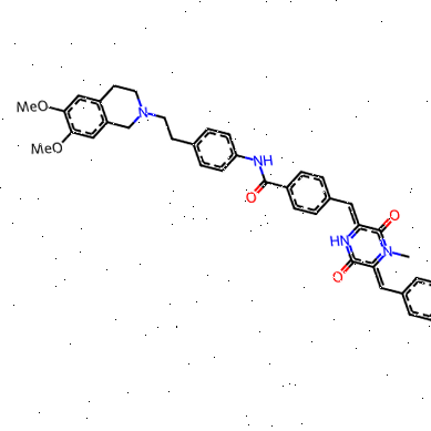 COc1cc2c(cc1OC)CN(CCc1ccc(NC(=O)c3ccc(C=c4[nH]c(=O)c(=Cc5cccc(Cl)c5)n(C)c4=O)cc3)cc1)CC2